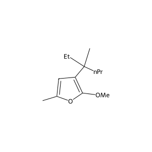 CCCC(C)(CC)c1cc(C)oc1OC